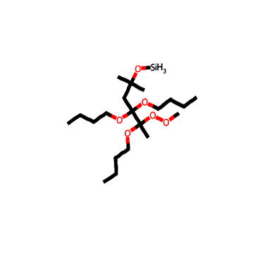 CCCCOC(C)(OOC)C(CC(C)(C)O[SiH3])(OCCCC)OCCCC